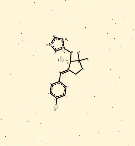 CC1(C)CC/C(=C\c2ccc(Cl)cc2)[C@@]1(O)Cn1cncn1